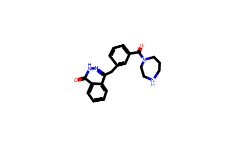 O=C(c1cccc(Cc2n[nH]c(=O)c3ccccc23)c1)N1CCCNCC1